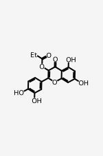 CCC(=O)Oc1c(-c2ccc(O)c(O)c2)oc2cc(O)cc(O)c2c1=O